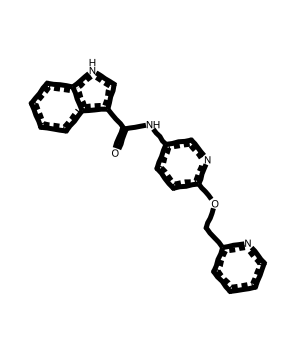 O=C(Nc1ccc(OCc2ccccn2)nc1)c1c[nH]c2ccccc12